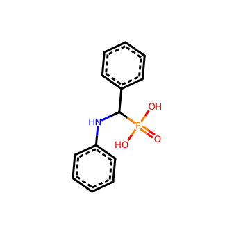 O=P(O)(O)C(Nc1ccccc1)c1ccccc1